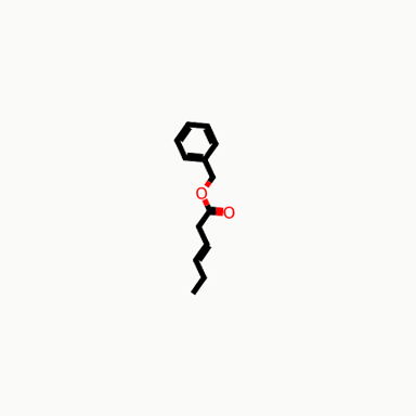 CCC=CCC(=O)OCc1ccccc1